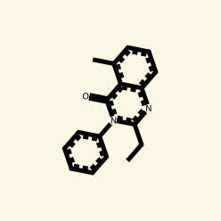 CCc1nc2cccc(C)c2c(=O)n1-c1ccccc1